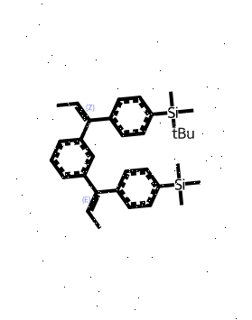 C/C=C(/c1ccc([Si](C)(C)C(C)(C)C)cc1)c1cccc(/C(=C/C)c2ccc([Si](C)(C)C)cc2)c1